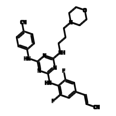 N#C/C=C/c1cc(F)c(Nc2nc(NCCCN3CCOCC3)nc(Nc3ccc(C#N)cc3)n2)c(F)c1